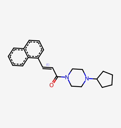 O=C(/C=C/c1cccc2ccccc12)N1CCN(C2CCCC2)CC1